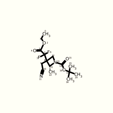 CCOC(=O)C(F)(F)C1(CC#N)CN(C(=O)OC(C)(C)C)[C@@H]1C